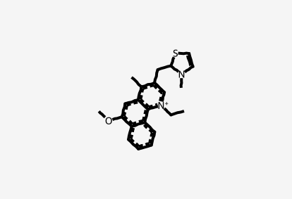 CC[n+]1cc(CC2SC=CN2C)c(C)c2cc(OC)c3ccccc3c21